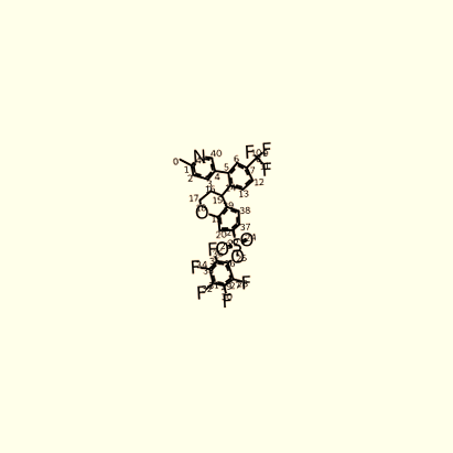 Cc1ccc(-c2cc(C(F)(F)F)ccc2C2CCOc3cc(S(=O)(=O)Oc4c(F)c(F)c(F)c(F)c4F)ccc32)cn1